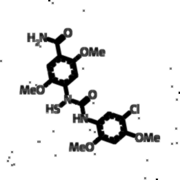 COc1cc(OC)c(NC(=O)N(S)c2cc(OC)c(C(N)=O)cc2OC)cc1Cl